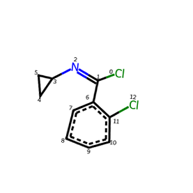 Cl/C(=N/C1CC1)c1ccccc1Cl